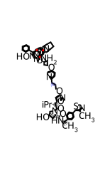 Cc1ncsc1-c1ccc([C@H](C)NC(=O)[C@@H]2C[C@@H](O)CN2C(=O)[C@@H](c2cc(OC/C=C/c3ccc(O[C@H]4C[C@H](Oc5cc(N6C7CCC6CN(c6cc(-c8ccccc8O)nnc6N)C7)ccn5)C4)cn3)no2)C(C)C)cc1